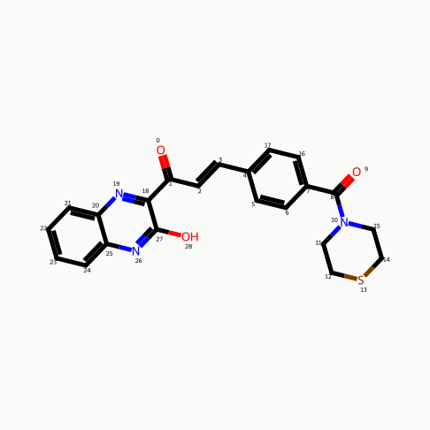 O=C(C=Cc1ccc(C(=O)N2CCSCC2)cc1)c1nc2ccccc2nc1O